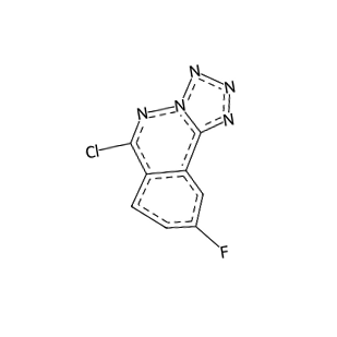 Fc1ccc2c(Cl)nn3nnnc3c2c1